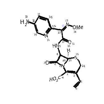 C=CC1=C(C(=O)O)N2C(=O)C(NC(=O)/C(=N\OC)c3ccc(N)cn3)[C@H]2SC1